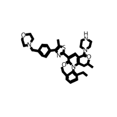 CCc1cccc(CC)c1-n1c(CC(C)C)c(C(=O)N2CCNCC2)cc(-c2nc(-c3ccc(CN4CCOCC4)cc3)c(C)s2)c1=O